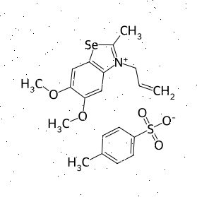 C=CC[n+]1c(C)[se]c2cc(OC)c(OC)cc21.Cc1ccc(S(=O)(=O)[O-])cc1